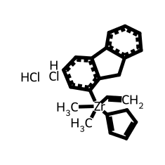 C=[CH][Zr]([CH3])([CH3])([C]1=CC=CC1)[c]1cccc2c1Cc1ccccc1-2.Cl.Cl